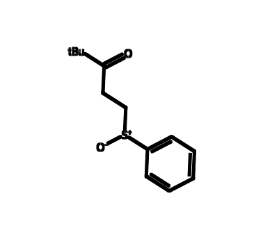 CC(C)(C)C(=O)CC[S+]([O-])c1ccccc1